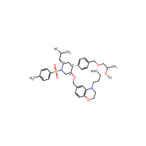 CCOC(C)COCc1ccc([C@H]2C[C@H](CC(C)C#N)N(S(=O)(=O)c3ccc(C)cc3)C[C@@H]2OCc2ccc3c(c2)N(CCCOC)CCO3)cc1